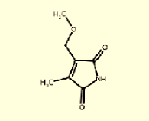 COCC1=C(C)C(=O)NC1=O